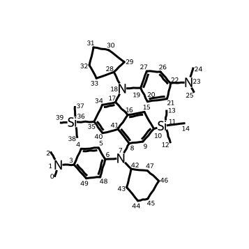 CN(C)c1ccc(N(c2cc([Si](C)(C)C)cc3c(N(c4ccc(N(C)C)cc4)C4CCCCC4)cc([Si](C)(C)C)cc23)C2CCCCC2)cc1